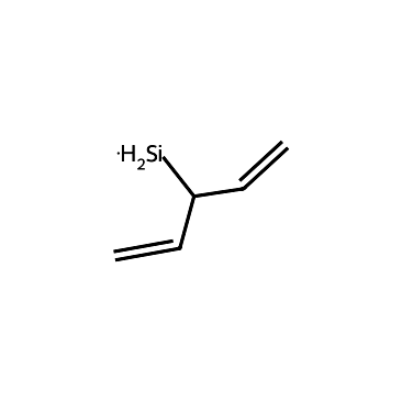 C=CC([SiH2])C=C